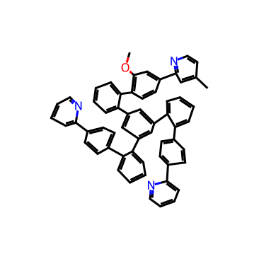 COc1cc(-c2cc(C)ccn2)ccc1-c1ccccc1-c1cc(-c2ccccc2-c2ccc(-c3ccccn3)cc2)cc(-c2ccccc2-c2ccc(-c3ccccn3)cc2)c1